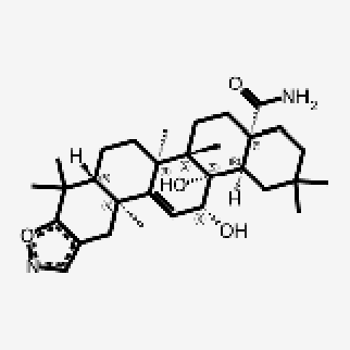 CC1(C)CC[C@]2(C(N)=O)CC[C@]3(C)[C@](O)([C@H](O)C=C4[C@@]5(C)Cc6cnoc6C(C)(C)[C@@H]5CC[C@]43C)[C@@H]2C1